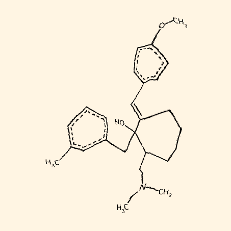 COc1ccc(/C=C2\CCCCC(CN(C)C)C2(O)Cc2cccc(C)c2)cc1